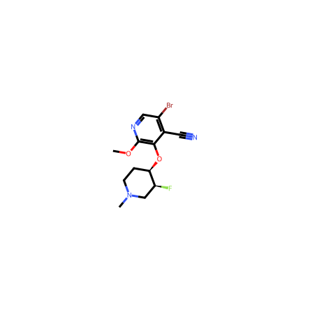 COc1ncc(Br)c(C#N)c1O[C@@H]1CCN(C)C[C@@H]1F